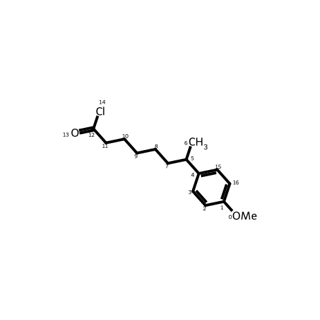 COc1ccc(C(C)CCCCCC(=O)Cl)cc1